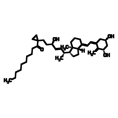 C=C1/C(=C\C=C2/CCC[C@]3(C)[C@@H]([C@H](C)/C=C/[C@H](O)CCC4(C(=O)CCCCCCCCC)CC4)CC[C@@H]23)C[C@@H](O)C[C@@H]1O